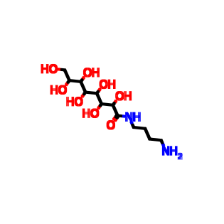 NCCCCNC(=O)C(O)C(O)C(O)C(O)C(O)C(O)CO